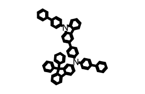 C1=CC(C2(c3ccccc3)c3ccccc3-c3ccc(N(c4ccc(-c5ccccc5)cc4)c4ccc(-c5ccc6c(c5)c5ccccc5n6-c5ccc(-c6ccccc6)cc5)cc4)cc32)=CCC1